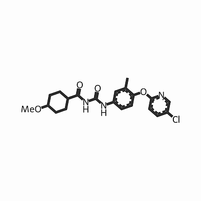 COC1CCC(C(=O)NC(=O)Nc2ccc(Oc3ccc(Cl)cn3)c(C)c2)CC1